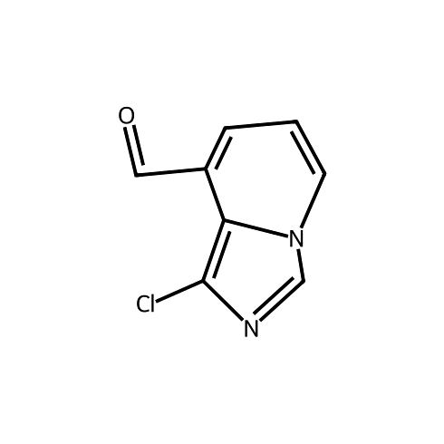 O=Cc1cccn2cnc(Cl)c12